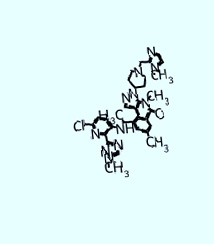 Cc1cc(C(C)Nc2ccc(Cl)nc2-c2ncn(C)n2)c2c(c1)c(=O)n(C)c1c2cnn1C1CCN(Cc2nccn2C)CC1